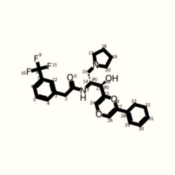 O=C(Cc1cccc(C(F)(F)F)c1)N[C@H](CN1CCCC1)[C@@H](O)C1=COC=C(C2=CC=CCC2)O1